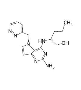 CCCC(CO)Nc1nc(N)nc2ccn(Cc3cccnn3)c12